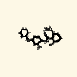 COc1cccc(Cl)c1C(=O)Pc1ccc(Oc2ccccc2)cc1.[LiH]